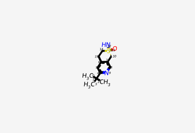 CC(C)(C)c1cc2c(cn1)C[S@](=N)(=O)CC2